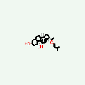 CC(C)CCOC(C)[C@H]1CC[C@H]2C3=CC=C4C[C@@H](O)C[C@H](O)[C@]4(C)[C@H]3CC[C@]12C